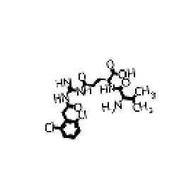 CC(C)[C@H](N)C(=O)N[C@@H](CCC(=O)NC(=N)NC(=O)Cc1c(Cl)cccc1Cl)C(=O)O